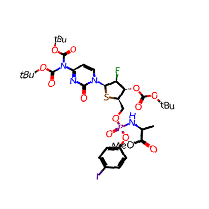 COC(=O)C(C)NP(=O)(OC[C@H]1S[C@@H](n2ccc(N(C(=O)OC(C)(C)C)C(=O)OC(C)(C)C)nc2=O)[C@@H](F)[C@@H]1OC(=O)OC(C)(C)C)Oc1ccc(I)cc1